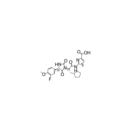 COc1ccc([C@H]2NC(=O)N([C@@H](CC3CCCC3)C(=O)Nc3nc(C(=O)O)cs3)C2=O)cc1F